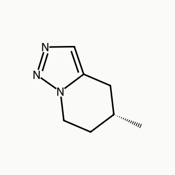 C[C@@H]1CCn2nncc2C1